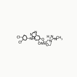 C/N=C(\N)N1CCOC(COc2cc3ncnc(Nc4ccc(Cl)c(Cl)c4)c3cc2OC)C1